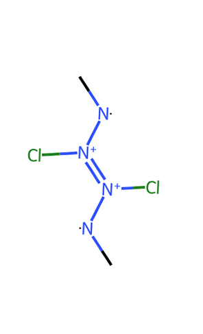 C[N][N+](Cl)=[N+](Cl)[N]C